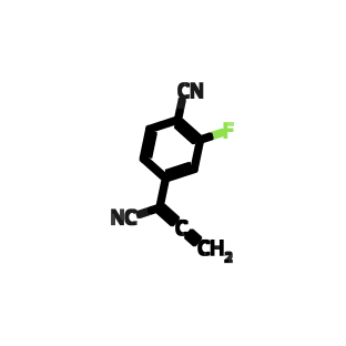 C=C=C(C#N)c1ccc(C#N)c(F)c1